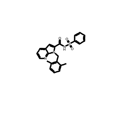 Cc1cccc(C)c1Cn1c(C(=O)NS(=O)(=O)c2ccccc2)cc2cccnc21